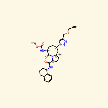 C#CCOCc1cn([C@@H]2CC[C@H](NC(=O)OC(C)(C)C)C(=O)N3[C@H](CC[C@H]3C(=O)N[C@@H]3CCCc4ccccc43)C2)nn1